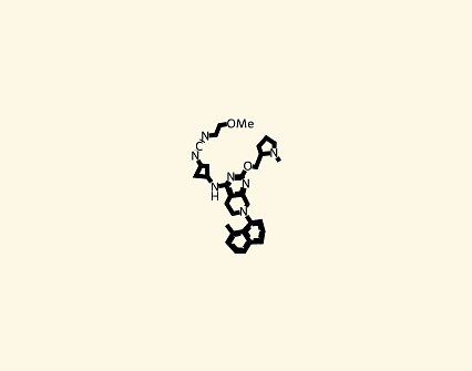 COCCN=C=NC1CC(Nc2nc(OCC3CCCN3C)nc3c2CCN(c2cccc4cccc(C)c24)C3)C1